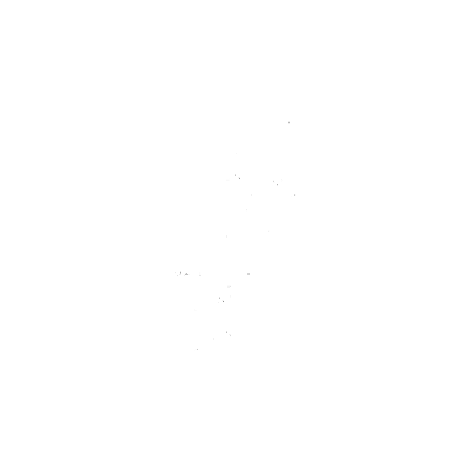 COc1cc(/C=C2\CCCN3CC(CO)ON=C23)ccc1-n1cnc(C)c1